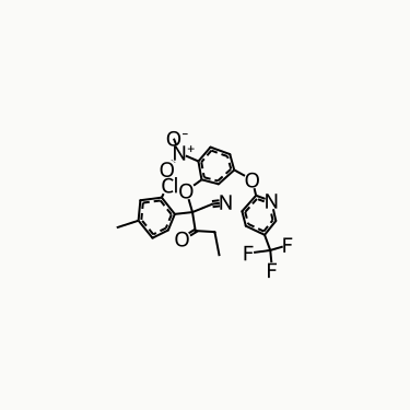 CCC(=O)C(C#N)(Oc1cc(Oc2ccc(C(F)(F)F)cn2)ccc1[N+](=O)[O-])c1ccc(C)cc1Cl